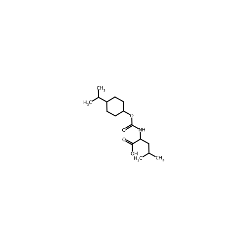 CC(C)CC(NC(=O)OC1CCC(C(C)C)CC1)C(=O)O